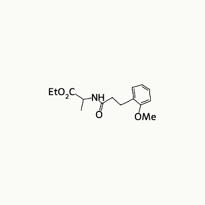 CCOC(=O)C(C)NC(=O)CCc1ccccc1OC